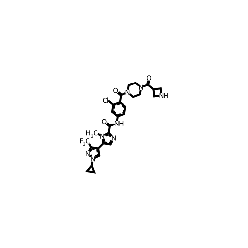 Cn1c(-c2cn(C3CC3)nc2C(F)(F)F)cnc1C(=O)Nc1ccc(C(=O)N2CCN(C(=O)C3CNC3)CC2)c(Cl)c1